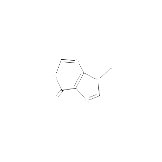 O=c1[nH]cnc2c1ncn2I